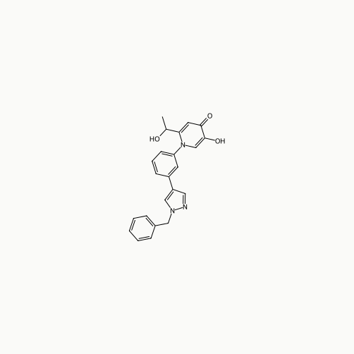 CC(O)c1cc(=O)c(O)cn1-c1cccc(-c2cnn(Cc3ccccc3)c2)c1